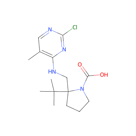 Cc1cnc(Cl)nc1NCC1(C(C)(C)C)CCCN1C(=O)O